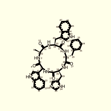 C[C@@H]1NC(=O)C(c2c[nH]c3ccccc23)NC(=O)[C@H](Cc2cnc[nH]2)NC(=O)[C@@H](Cc2ccccc2)NC(=O)[C@H](Cc2c[nH]c3ccccc23)NC1=O